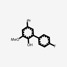 COc1cc(C(C)C)cc(-c2ccc(F)cc2)c1O